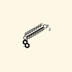 FC(F)(F)C(F)(F)C(F)(F)C(F)(F)C(F)(F)C(F)(F)C(F)(F)C(F)(F)C(F)(F)C(F)(F)Oc1ccc2[c]cccc2c1